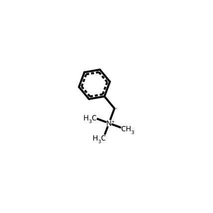 C[N+](C)(C)[CH]c1ccccc1